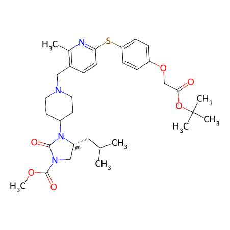 COC(=O)N1C[C@@H](CC(C)C)N(C2CCN(Cc3ccc(Sc4ccc(OCC(=O)OC(C)(C)C)cc4)nc3C)CC2)C1=O